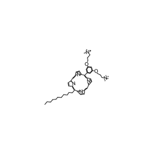 CCCCCCCCCCCC1=C2C=CC(=N2)C=C2C=CC(=N2)C(c2cc(OCCC[N+](C)(C)C)cc(OCCC[N+](C)(C)C)c2)=C2C=CC(=N2)C=C2C=CC1=N2